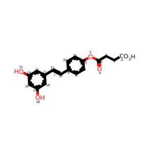 O=C(O)CCC(=O)Oc1ccc(/C=C/c2cc(O)cc(O)c2)cc1